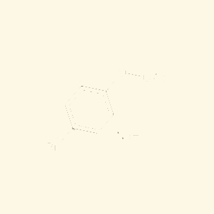 CC(=O)OOc1ccc(Br)cc1.[NaH]